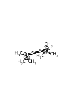 CCO[Si](CCSCCCSCC[Si](OCC)(OCC)OCC)(OCC)OCC